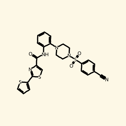 N#Cc1ccc(S(=O)(=O)N2CCN(c3ccccc3NC(=O)c3csc(-c4cccs4)n3)CC2)cc1